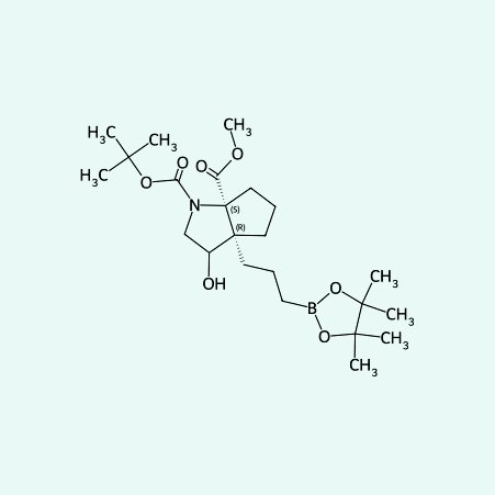 COC(=O)[C@]12CCC[C@@]1(CCCB1OC(C)(C)C(C)(C)O1)C(O)CN2C(=O)OC(C)(C)C